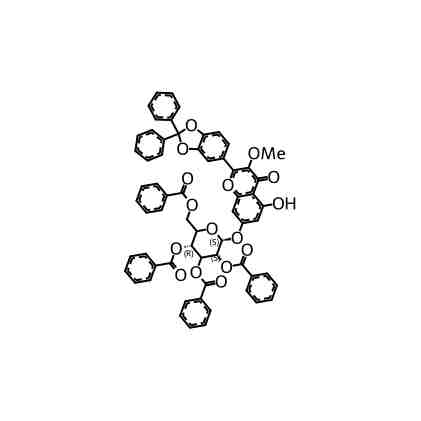 COc1c(-c2ccc3c(c2)OC(c2ccccc2)(c2ccccc2)O3)oc2cc(O[C@@H]3OC(COC(=O)c4ccccc4)[C@@H](OC(=O)c4ccccc4)C(OC(=O)c4ccccc4)[C@@H]3OC(=O)c3ccccc3)cc(O)c2c1=O